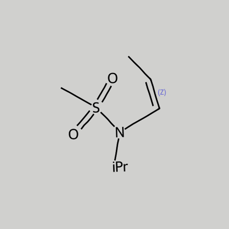 C/C=C\N(C(C)C)S(C)(=O)=O